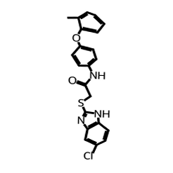 Cc1ccccc1Oc1ccc(NC(=O)CSc2nc3cc(Cl)ccc3[nH]2)cc1